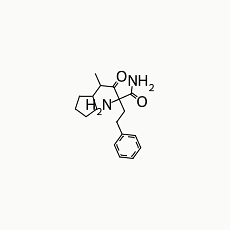 CC(C(=O)C(N)(CCc1ccccc1)C(N)=O)C1CCCC1